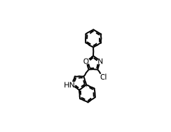 Clc1nc(-c2ccccc2)oc1-c1c[nH]c2ccccc12